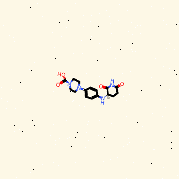 O=C1CC[C@H](Nc2ccc(N3CCN(C(=O)O)CC3)cc2)C(=O)N1